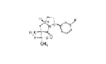 CC(F)(F)C1(C)C[C@@H]2CC[C@@H](c3cccc(F)c3)N2C1=O